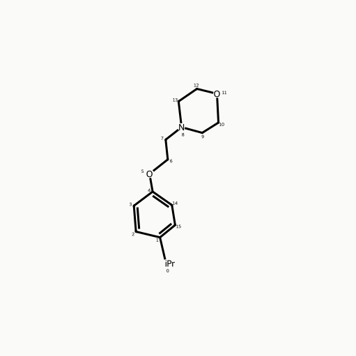 CC(C)c1ccc(OCCN2CCOCC2)cc1